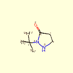 [2H]C([2H])([2H])N1NCCC1=O